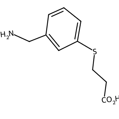 NCc1cccc(SCCC(=O)O)c1